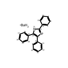 [BaH2].c1ccc(C2=NC(c3ccccc3)=C(c3ccccc3)[N]2)cc1